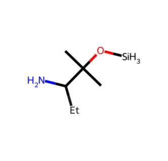 CCC(N)C(C)(C)O[SiH3]